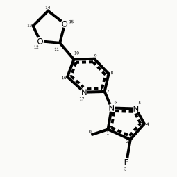 Cc1c(F)cnn1-c1ccc(C2OCCO2)cn1